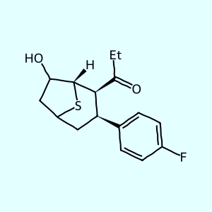 CCC(=O)[C@H]1[C@@H](c2ccc(F)cc2)CC2CC(O)[C@H]1S2